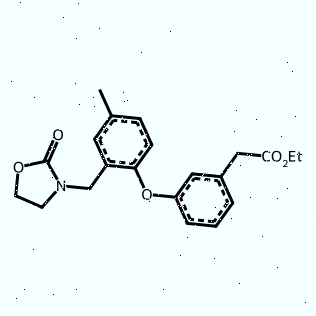 CCOC(=O)Cc1cccc(Oc2ccc(C)cc2CN2CCOC2=O)c1